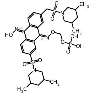 CC1CC(C)CN(S(=O)(=O)Cc2ccc3c(c2)/C(=N\OCOP(=O)(O)O)c2cc(S(=O)(=O)N4CC(C)CC(C)C4)ccc2/C3=N\O)C1